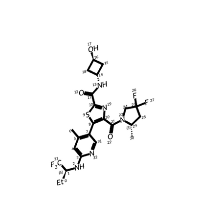 CC[C@H](Nc1cc(C)c(-c2sc(C(=O)N[C@H]3C[C@H](O)C3)nc2C(=O)N2CC(F)(F)C[C@@H]2C)cn1)C(F)(F)F